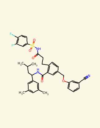 Cc1cc(C)cc(C(CC(C)C)NC(=O)c2cc(COc3cccc(C#N)c3)ccc2CCC(=O)NS(=O)(=O)c2ccc(F)c(F)c2)c1